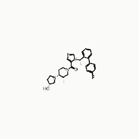 C[C@H]1CN(C(=O)c2cncn2[C@@H](C)c2ccccc2-c2ccc(F)cc2)CC[C@H]1N1CC[C@@H](O)C1